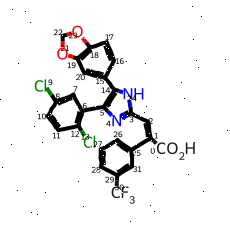 O=C(O)/C(=C/c1nc(-c2cc(Cl)ccc2Cl)c(-c2ccc3c(c2)OCO3)[nH]1)c1cccc(C(F)(F)F)c1